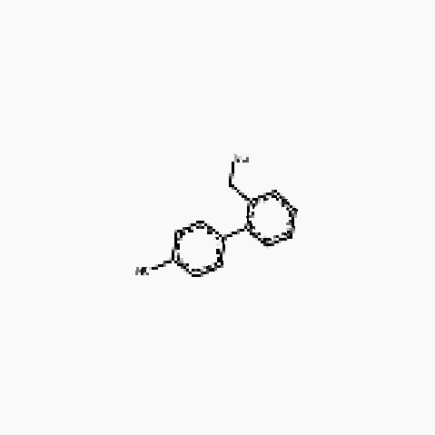 CCC(C)Cc1ccccc1-c1ccc(C#N)cc1